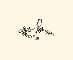 CCC(CCCN1CCC(NC(=O)c2ccccc2-c2ccc(C(F)(F)F)cc2)CC1)(CC(=O)OCCCN)c1ccccc1